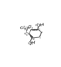 Oc1ccc(O)cc1.[Cl][Fe]([Cl])[Cl]